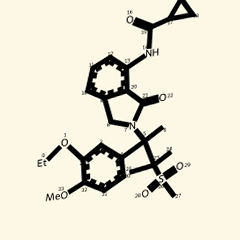 CCOc1cc(C(C)(N2Cc3cccc(NC(=O)C4CC4)c3C2=O)C(C)(C)S(C)(=O)=O)ccc1OC